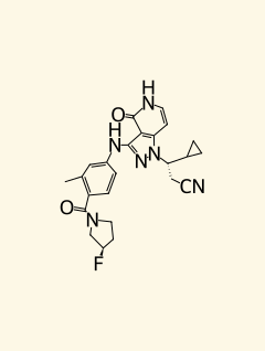 Cc1cc(Nc2nn([C@@H](CC#N)C3CC3)c3cc[nH]c(=O)c23)ccc1C(=O)N1CC[C@@H](F)C1